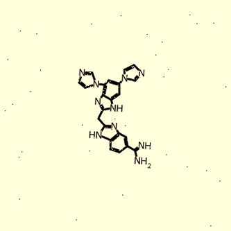 N=C(N)c1ccc2[nH]c(Cc3nc4c(-n5ccnc5)cc(-n5ccnc5)cc4[nH]3)nc2c1